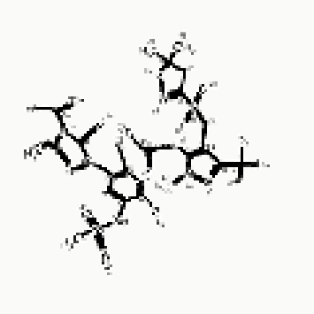 Cc1nn(-c2cc(NS(C)(=O)=O)c(Cl)cc2Cl)c(=O)n1C(F)F.Cn1nc(C(F)(F)F)c(CS(=O)(=O)C2=NOC(C)(C)C2)c1OC(F)F